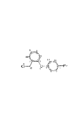 Fc1ccc(Oc2ccccc2CCl)cc1